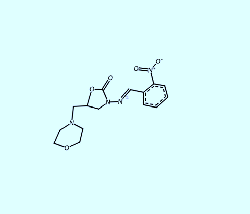 O=C1OC(CN2CCOCC2)CN1/N=C/c1ccccc1[N+](=O)[O-]